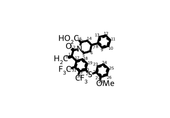 C=C(C(=O)N1CCC(c2ccccc2)CC1C(=O)O)c1ccc(Sc2ccccc2OC)c(C(F)(F)F)c1C(F)(F)F